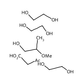 CC(=O)CC(=O)O.COC(C)CO.OCCO.OCCO.OCCO